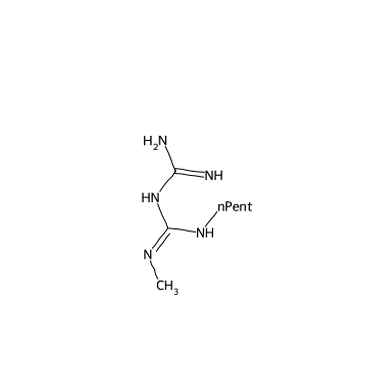 CCCCCN/C(=N\C)NC(=N)N